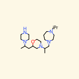 CC(C)N1CCCN(CC(C)N2CCOC(CC(C)N3CCNCC3)C2)CC1